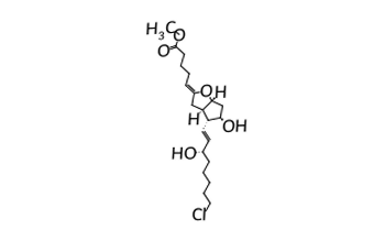 COC(=O)CCC/C=C1/C[C@@H]2[C@@H](/C=C/[C@@H](O)CCCCCCl)[C@H](O)C[C@H]2O1